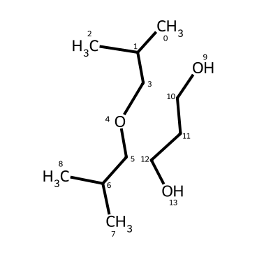 CC(C)COCC(C)C.OCCCO